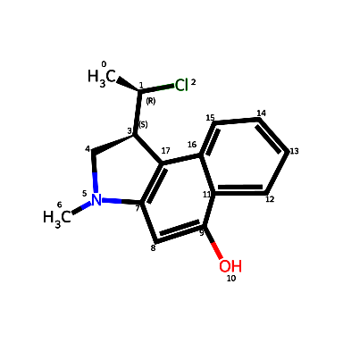 C[C@@H](Cl)[C@@H]1CN(C)c2cc(O)c3ccccc3c21